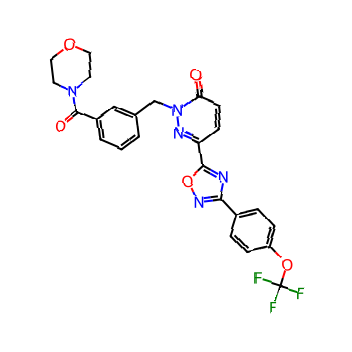 O=C(c1cccc(Cn2nc(-c3nc(-c4ccc(OC(F)(F)F)cc4)no3)ccc2=O)c1)N1CCOCC1